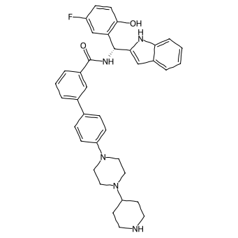 O=C(N[C@@H](c1cc2ccccc2[nH]1)c1cc(F)ccc1O)c1cccc(-c2ccc(N3CCN(C4CCNCC4)CC3)cc2)c1